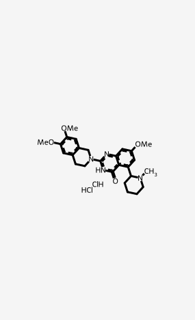 COc1cc(C2CCCCN2C)c2c(=O)[nH]c(N3CCc4cc(OC)c(OC)cc4C3)nc2c1.Cl.Cl